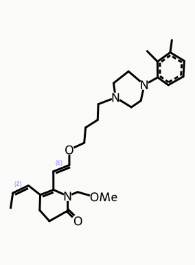 C/C=C\C1=C(/C=C/OCCCCN2CCN(c3cccc(C)c3C)CC2)N(COC)C(=O)CC1